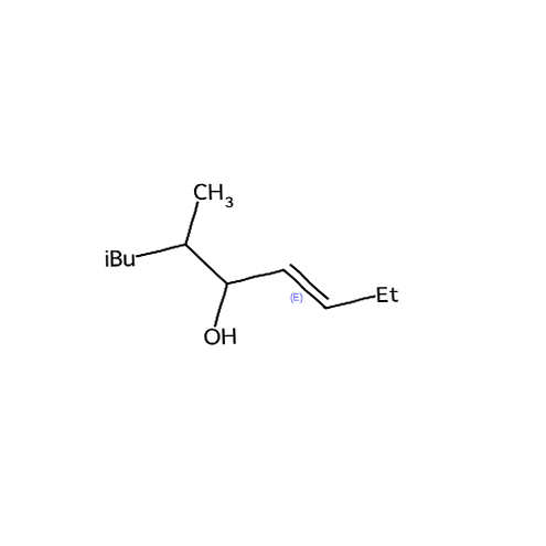 CC/C=C/C(O)C(C)C(C)CC